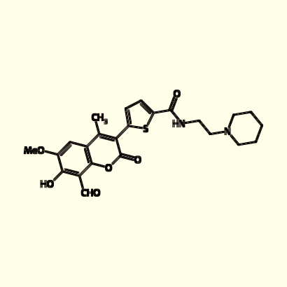 COc1cc2c(C)c(-c3ccc(C(=O)NCCN4CCCCC4)s3)c(=O)oc2c(C=O)c1O